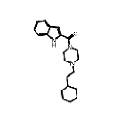 O=C(c1cc2ccccc2[nH]1)N1CCN(CCC2CCCCC2)CC1